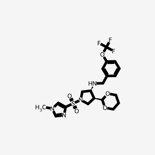 Cn1cnc(S(=O)(=O)N2C[C@H](NCc3cccc(OC(F)(F)F)c3)[C@@H](C3OCCCO3)C2)c1